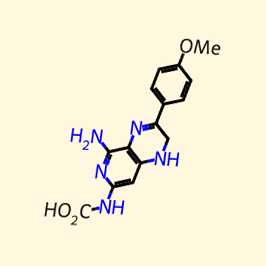 COc1ccc(C2=Nc3c(cc(NC(=O)O)nc3N)NC2)cc1